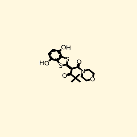 CC(C)(C)C(=O)C(C(=O)N1CCOCC1)=C1Sc2c(O)ccc(O)c2S1